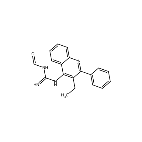 CCc1c(-c2ccccc2)nc2ccccc2c1NC(=N)NC=O